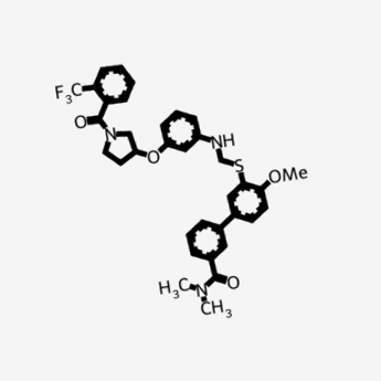 COc1ccc(-c2cccc(C(=O)N(C)C)c2)cc1SCNc1cccc(OC2CCN(C(=O)c3ccccc3C(F)(F)F)C2)c1